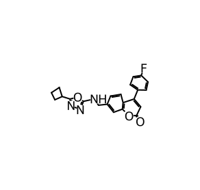 O=c1cc(-c2ccc(F)cc2)c2ccc(CNc3nnc(C4CCC4)o3)cc2o1